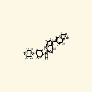 c1cn2cc(-c3ccn4nc(N[C@H]5CC[C@H](N6CCOCC6)CC5)ncc34)ccc2n1